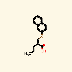 CCCC(=CSc1ccc2ccccc2c1)C(=O)O